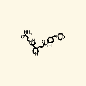 NC(=O)CCn1cc(-c2ccncc2C=CC(=O)Nc2ccc(CN3CCOCC3)cc2)cn1